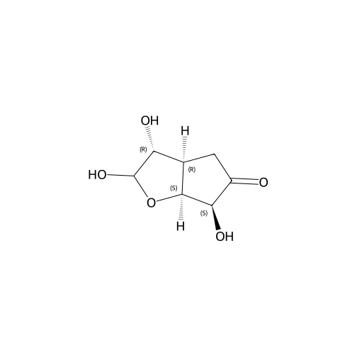 O=C1C[C@H]2[C@H](OC(O)[C@@H]2O)[C@@H]1O